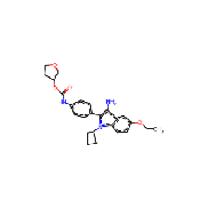 CCOc1ccc2c(c1)c(N)c(-c1ccc(NC(=O)O[C@H]3CCOC3)cc1)n2C1CCC1